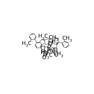 Cc1ccccc1-c1cccc2c1C=C(C(C)(C)C)[CH]2[Zr]([Cl])([Cl])([B](NC=O)NC=O)[CH]1C(C(C)(C)C)=Cc2c(-c3ccccc3C)cccc21